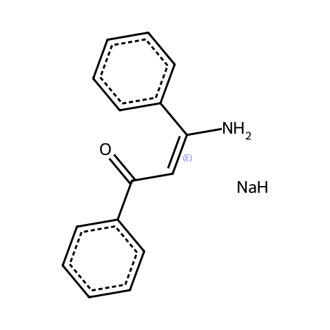 N/C(=C/C(=O)c1ccccc1)c1ccccc1.[NaH]